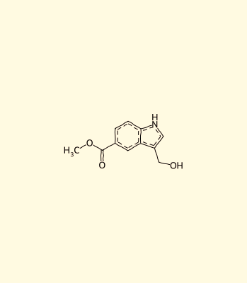 COC(=O)c1ccc2[nH]cc(CO)c2c1